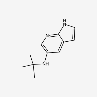 CC(C)(C)Nc1cnc2[nH]ccc2c1